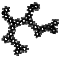 c1ccc(N(c2ccc(-c3ccc(N(c4ccc(-c5ccc(N(c6ccc(-c7ccc(N(c8ccccc8)c8ccc(-c9ccc%10c(c9)c9ccccc9n%10-c9ccccc9)cc8)cc7)cc6)c6ccc(-c7ccc8oc9ccccc9c8c7)cc6)cc5)cc4)c4ccc(-c5ccc6oc7ccccc7c6c5)cc4)cc3)cc2)c2ccc(-c3ccc4c(c3)c3ccccc3n4-c3ccccc3)cc2)cc1